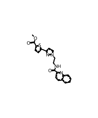 COC(=O)c1ccc(-c2ccn(CCNC(=O)c3ccc4ccccc4n3)n2)s1